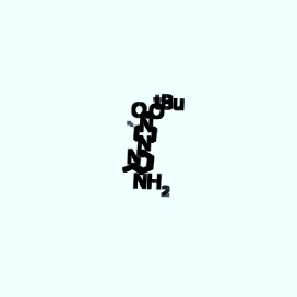 Cc1nc(N2CCN(C(=O)OC(C)(C)C)[C@@H](C)C2)ccc1N